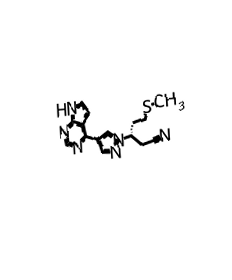 CSCC[C@H](CC#N)n1cc(-c2ncnc3[nH]ccc23)cn1